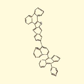 c1ccc(-c2c3ccccc3c(-c3ccc(-c4ccc5cc6c(cc5c4)sc4c5ccccc5c5ccccc5c64)c4ccccc34)c3ccccc23)cc1